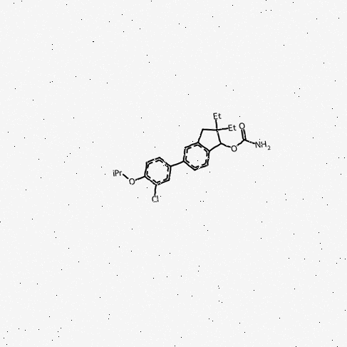 CCC1(CC)Cc2cc(-c3ccc(OC(C)C)c(Cl)c3)ccc2C1OC(N)=O